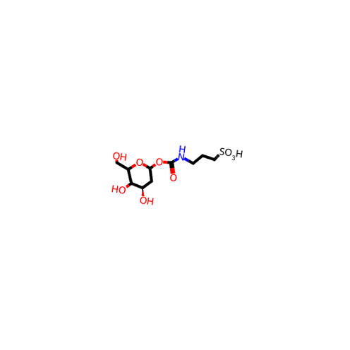 O=C(NCCCS(=O)(=O)O)OC1C[C@@H](O)C(O)C(CO)O1